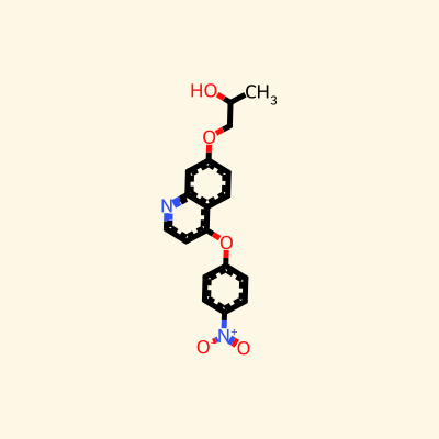 CC(O)COc1ccc2c(Oc3ccc([N+](=O)[O-])cc3)ccnc2c1